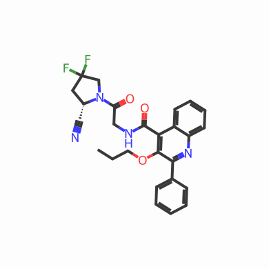 CCCOc1c(-c2ccccc2)nc2ccccc2c1C(=O)NCC(=O)N1CC(F)(F)C[C@H]1C#N